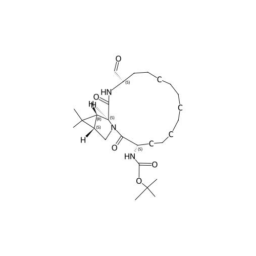 CC(C)(C)OC(=O)N[C@H]1CCCCCCCCCC[C@@H](C=O)NC(=O)[C@@H]2[C@@H]3[C@H](CN2C1=O)C3(C)C